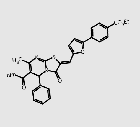 CCCC(=O)C1=C(C)N=c2s/c(=C\c3ccc(-c4ccc(C(=O)OCC)cc4)o3)c(=O)n2C1c1ccccc1